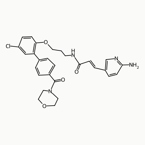 Nc1ccc(C=CC(=O)NCCCOc2ccc(Cl)cc2-c2ccc(C(=O)N3CCOCC3)cc2)cn1